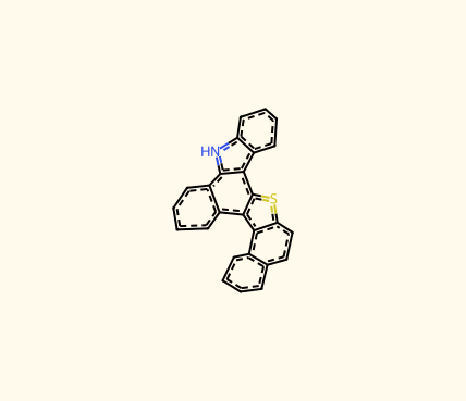 c1ccc2c(c1)ccc1sc3c4c5ccccc5[nH]c4c4ccccc4c3c12